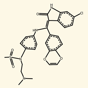 CN(C)CCN(c1ccc(N/C(=C2\C(=O)Nc3cc(Cl)ccc32)c2ccc3c(c2)OC=CO3)cc1)S(C)(=O)=O